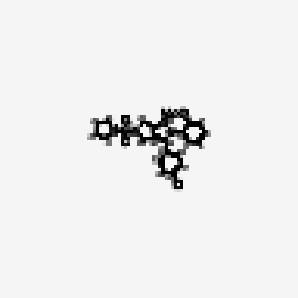 COc1ccccc1-n1nc2c(c1-c1ccc(Cl)cc1)CN(S(=O)(=O)N1CCCC1)C2